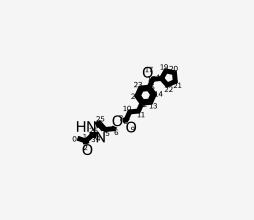 CC(=O)c1nc(COC(=O)CCc2ccc(C(=O)C3CCCC3)cc2)c[nH]1